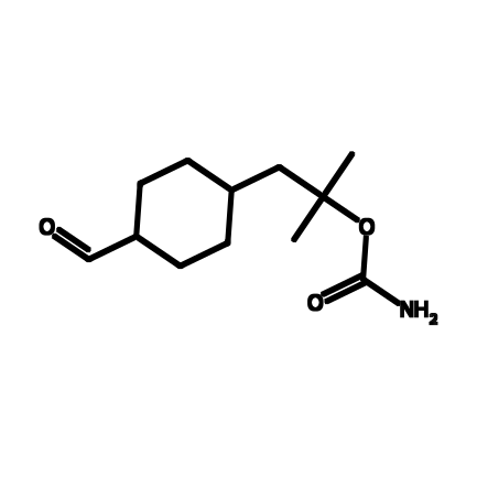 CC(C)(CC1CCC(C=O)CC1)OC(N)=O